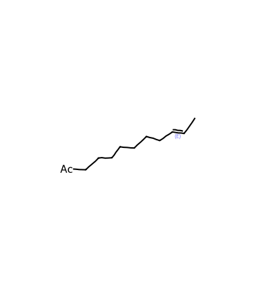 C/C=C/CCCCCCCC(C)=O